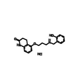 Cl.O=C1CCc2c(cccc2OCCCNCc2ccccc2O)N1